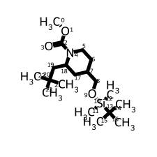 COC(=O)N1CCC(CO[Si](C)(C)C(C)(C)C)CC1CC(C)(C)C